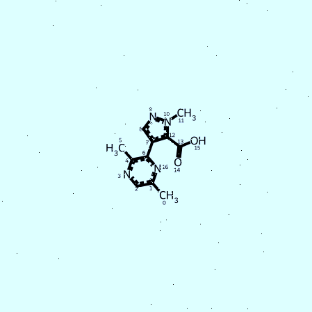 Cc1cnc(C)c(-c2cnn(C)c2C(=O)O)n1